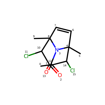 CC(=O)N1C2(C)C=CC1(C)C(Cl)C(=O)C2Cl